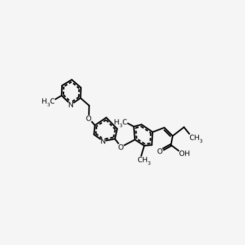 CCC(=Cc1cc(C)c(Oc2ccc(OCc3cccc(C)n3)cn2)c(C)c1)C(=O)O